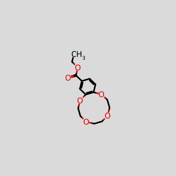 CCOC(=O)c1ccc2c(c1)OCCOCCOCCO2